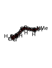 CNC[C@@H](c1ccc(S(=O)(=O)NCCOCCOCCOCCNC(=O)c2ccc(C(=O)NCCOCCOCCOCCNS(=O)(=O)c3ccc([C@@H]4CN(C)Cc5c(Cl)cc(Cl)cc54)cc3)cc2)cc1)C(C)C